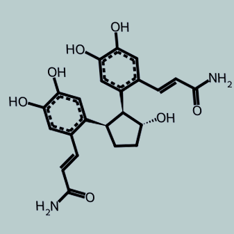 NC(=O)/C=C/c1cc(O)c(O)cc1[C@H]1[C@H](O)CC[C@H]1c1cc(O)c(O)cc1/C=C/C(N)=O